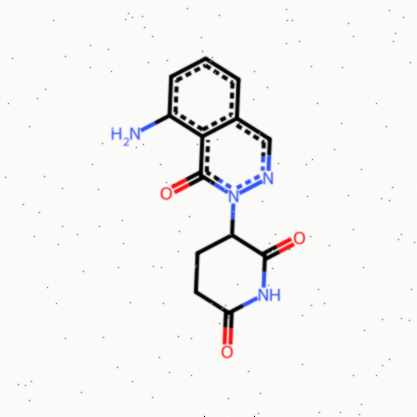 Nc1cccc2cnn(C3CCC(=O)NC3=O)c(=O)c12